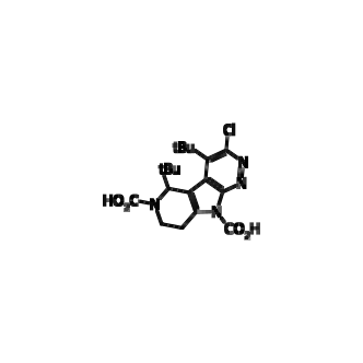 CC(C)(C)c1c(Cl)nnc2c1c1c(n2C(=O)O)CCN(C(=O)O)C1C(C)(C)C